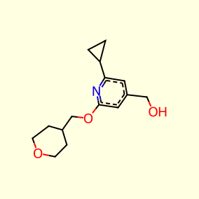 OCc1cc(OCC2CCOCC2)nc(C2CC2)c1